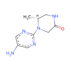 C[C@@H]1CNC(=O)CN1c1ncc(N)cn1